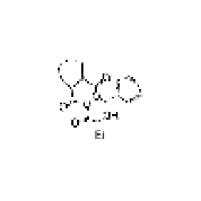 CCC(O)C(=O)OC(=O)C1CCCCC1C(=O)OCc1ccccc1